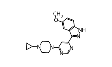 COc1ccc2[nH]nc(-c3cc(N4CCN(C5CC5)CC4)ncn3)c2c1